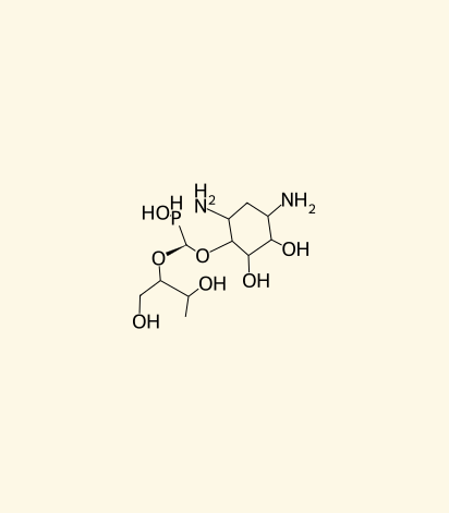 CC(O)C(CO)O[C@H](OC1C(N)CC(N)C(O)C1O)PO